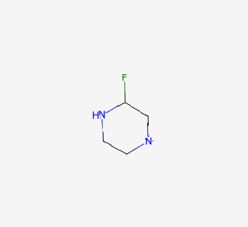 FC1C[N]CCN1